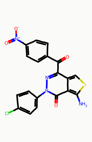 Nc1scc2c(C(=O)c3ccc([N+](=O)[O-])cc3)nn(-c3ccc(Cl)cc3)c(=O)c12